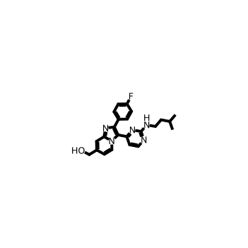 CC(C)CCNc1nccc(-c2c(-c3ccc(F)cc3)nc3cc(CO)ccn23)n1